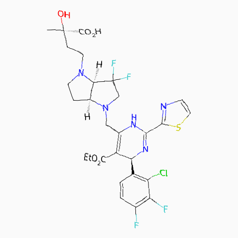 CCOC(=O)C1=C(CN2CC(F)(F)[C@H]3[C@@H]2CCN3CC[C@@](C)(O)C(=O)O)NC(c2nccs2)=N[C@H]1c1ccc(F)c(F)c1Cl